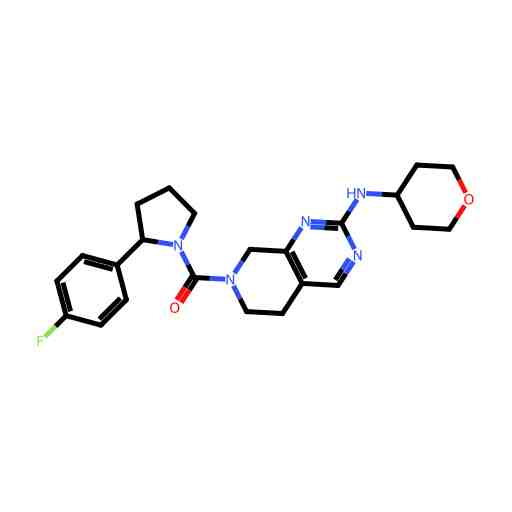 O=C(N1CCc2cnc(NC3CCOCC3)nc2C1)N1CCCC1c1ccc(F)cc1